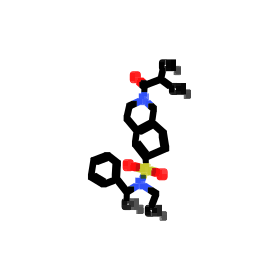 CCN(C(C)c1ccccc1)S(=O)(=O)c1ccc2c(c1)CCN(C(=O)C(C)C)C2